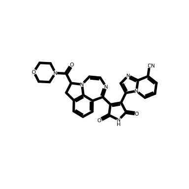 N#Cc1cccn2c(C3=C(C4=NC=CN5c6c(cccc64)CC5C(=O)N4CCOCC4)C(=O)NC3=O)cnc12